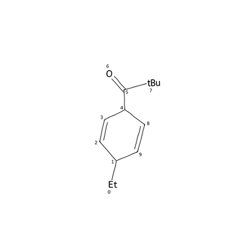 CCC1C=CC(C(=O)C(C)(C)C)C=C1